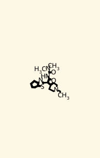 CCN1CCc2c(oc(NC(=O)N(C)C)c2-c2nc3ccccc3s2)C1